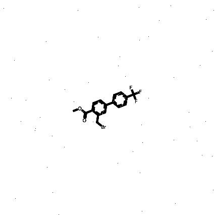 COC(=O)c1ccc(-c2ccc(C(F)(F)F)cc2)cc1CBr